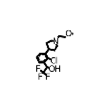 COCCN1CCC(c2cccc(C(O)C(F)(F)F)c2Cl)CC1